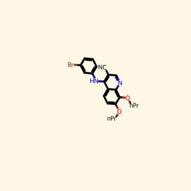 CCCOc1ccc2c(Nc3cccc(Br)c3)c(C#N)cnc2c1OCCC